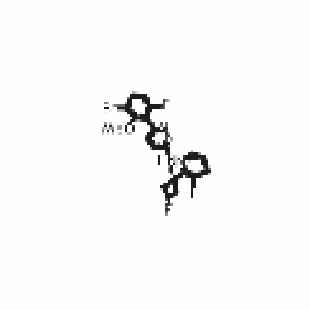 COc1c(Br)ccc(F)c1-c1ccc(NC[C@]2(c3ncccc3F)C[C@H](F)C2)nn1